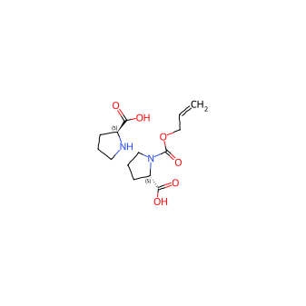 C=CCOC(=O)N1CCC[C@H]1C(=O)O.O=C(O)[C@@H]1CCCN1